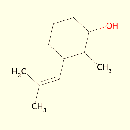 CC(C)=CC1CCCC(O)C1C